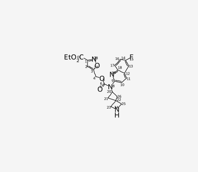 CCOC(=O)c1cc(COC(=O)N(c2ccc3cc(F)ccc3n2)C2CC3(CNC3)C2)on1